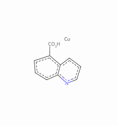 O=C(O)c1cccc2ncccc12.[Cu]